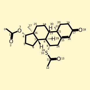 CC(=O)O[C@H]1CC[C@H]2[C@@H]3[C@@H](SC(C)=O)CC4=CC(=O)CC[C@]4(C)[C@H]3CC[C@]12C